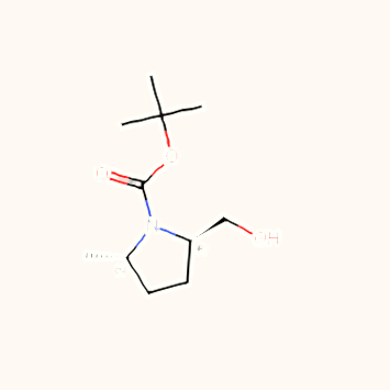 C[C@H]1CC[C@H](CO)N1C(=O)OC(C)(C)C